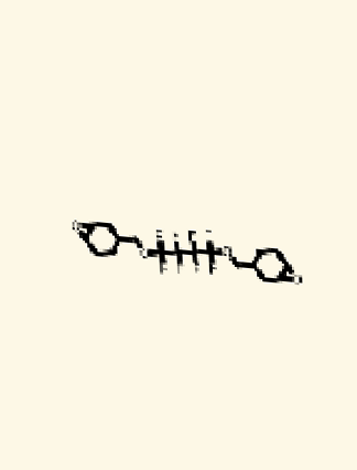 FC(F)(OCC1CCC2OC2C1)C(F)(F)C(F)(F)C(F)(F)OCC1CCC2OC2C1